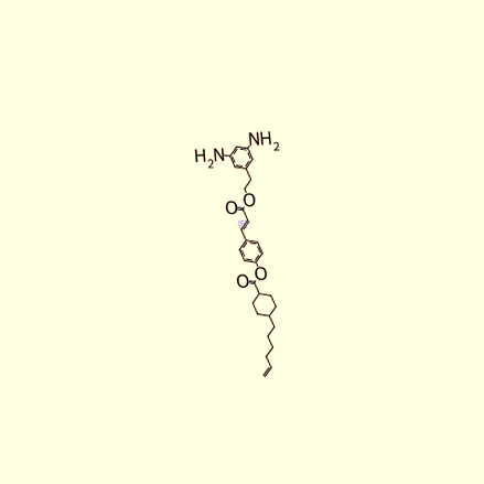 C=CCCCCC1CCC(C(=O)Oc2ccc(/C=C/C(=O)OCCc3cc(N)cc(N)c3)cc2)CC1